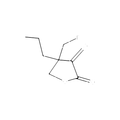 CCCC1(CF)COC(=O)C1=O